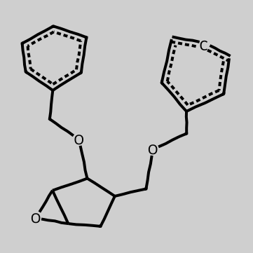 c1ccc(COCC2CC3OC3C2OCc2ccccc2)cc1